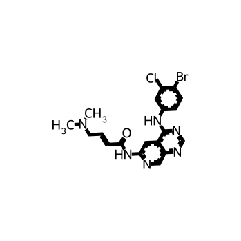 CN(C)C/C=C/C(=O)Nc1cc2c(Nc3ccc(Br)c(Cl)c3)ncnc2cn1